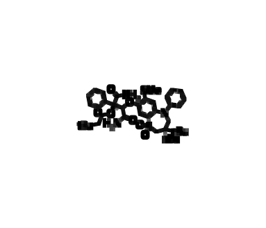 CCCCC1(CCCC)CN(c2ccccc2)c2cc(SC)c(OC(C(N)=O)[C@@](OC(=O)CC(C)(C)C)(C(N)=O)c3ccccc3)cc2S(=O)(=O)C1